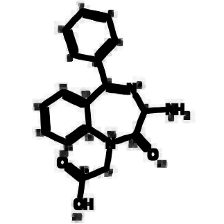 NC1N=C(c2ccccc2)c2ccccc2N(CC(=O)O)C1=O